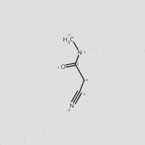 C[N]C(=O)CC#N